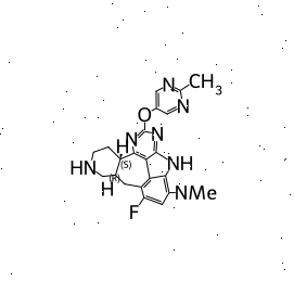 CNc1cc(F)c2c3c1[nH]c1nc(Oc4cnc(C)nc4)nc(c13)[C@H]1CCNC[C@@H]1C2